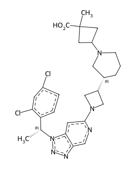 C[C@H](c1ccc(Cl)cc1Cl)n1nnc2cnc(N3CC([C@H]4CCCN(C5CC(C)(C(=O)O)C5)C4)C3)cc21